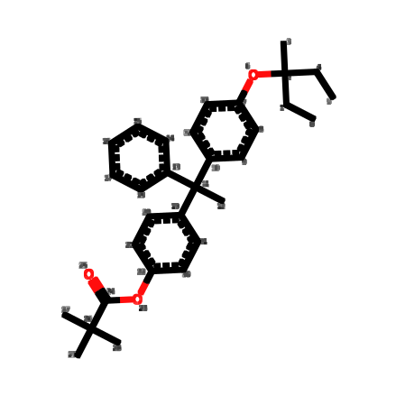 CCC(C)(CC)Oc1ccc(C(C)(c2ccccc2)c2ccc(OC(=O)C(C)(C)C)cc2)cc1